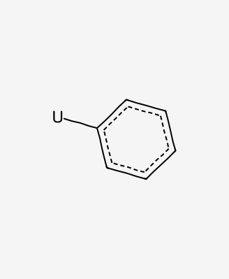 [U][c]1ccccc1